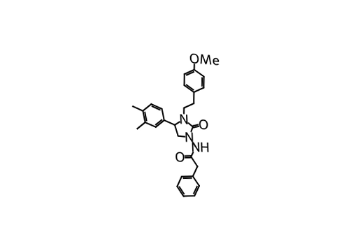 COc1ccc(CCN2C(=O)N(NC(=O)Cc3ccccc3)CC2c2ccc(C)c(C)c2)cc1